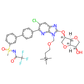 C[Si](C)(C)CCOCn1c(O[C@@H]2CO[C@H]3[C@@H]2OC[C@H]3O)nc2cc(Cl)c(-c3ccc(-c4cccc(S(C)(=O)=NC(=O)C(F)(F)F)c4)cc3)nc21